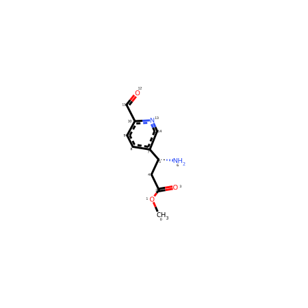 COC(=O)C[C@@H](N)c1ccc(C=O)nc1